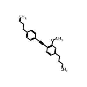 C=CCCc1ccc(C#Cc2ccc(CCC=C)cc2OC)cc1